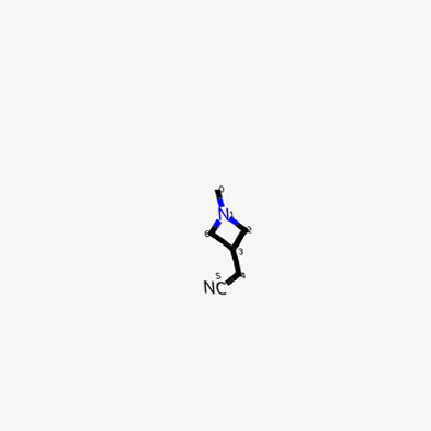 CN1CC(CC#N)C1